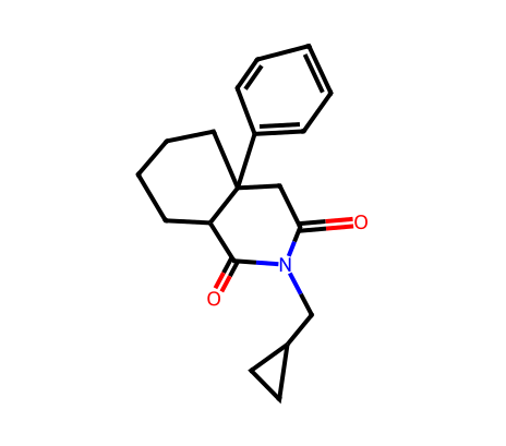 O=C1CC2(c3ccccc3)CCCCC2C(=O)N1CC1CC1